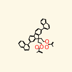 C=C(C)C(=O)OCCC1(CCOC(=O)C(=C)C)c2cc(-c3cccc4ccccc34)ccc2-c2ccc(-c3cccc4ccccc34)cc21